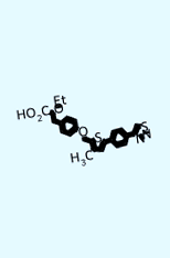 CCOC(Cc1ccc(OCc2sc(-c3ccc(-c4csnn4)cc3)cc2C)cc1)C(=O)O